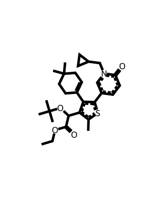 CCOC(=O)C(OC(C)(C)C)c1c(C)sc(-c2ccc(=O)n(CC3CC3)c2)c1C1=CCC(C)(C)CC1